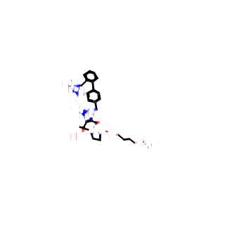 CCCc1nc(C(C)(C)O)c(C(=O)N2CCC[C@H]2C(=O)OCCCCO[N+](=O)[O-])n1Cc1ccc(-c2ccccc2-c2nnn[nH]2)cc1